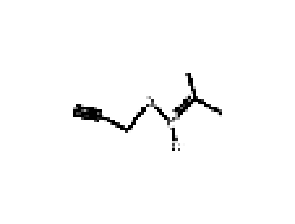 C#CCO[P+]([O-])=C(C)C